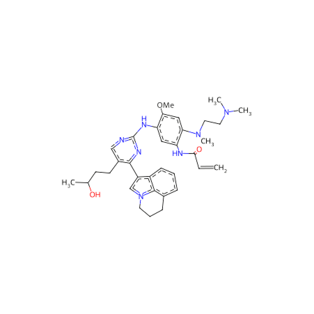 C=CC(=O)Nc1cc(Nc2ncc(CCC(C)O)c(-c3cn4c5c(cccc35)CCC4)n2)c(OC)cc1N(C)CCN(C)C